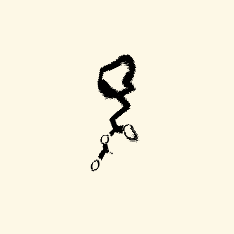 O=[C]OC(=O)C=Cc1ccccc1